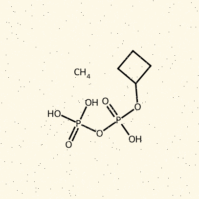 C.O=P(O)(O)OP(=O)(O)OC1CCC1